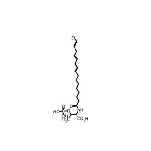 CC/C=C/C/C=C/C/C=C/CCCCCCCC(=O)N[C@H](C(=O)O)C(C)OP(=O)(O)O